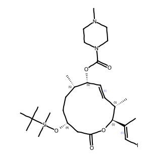 C/C(=C\I)[C@H]1OC(=O)C[C@H](O[Si](C)(C)C(C)(C)C)CC[C@H](C)[C@H](OC(=O)N2CCN(C)CC2)/C=C/[C@@H]1C